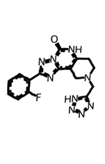 O=c1[nH]c2c(c3nc(-c4ccccc4F)nn13)CN(Cc1nnn[nH]1)CC2